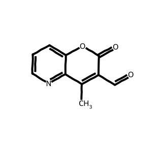 Cc1c(C=O)c(=O)oc2cccnc12